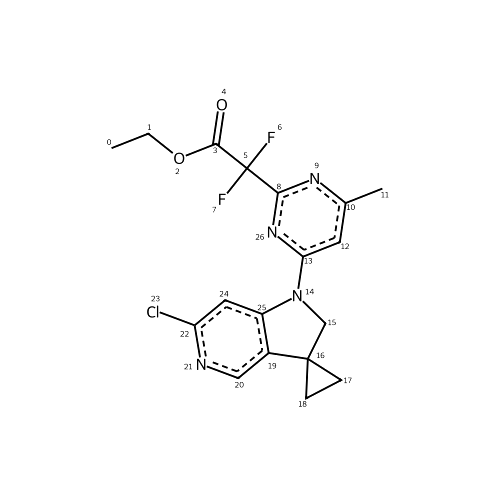 CCOC(=O)C(F)(F)c1nc(C)cc(N2CC3(CC3)c3cnc(Cl)cc32)n1